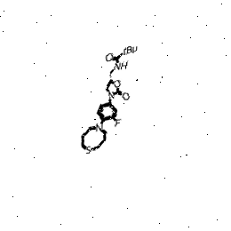 CC(C)(C)C(=O)NC[C@H]1CN(c2ccc(N3CCCSCCC3)c(F)c2)C(=O)O1